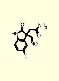 NC(=O)CC1(CN=O)C(=O)Nc2ccc(Cl)cc21